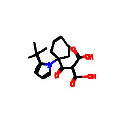 CC(C)(C)c1cccn1C1(C(=O)C(C(=O)O)C(=O)O)CCCCC1